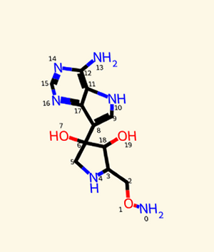 NOCC1NCC(O)(c2c[nH]c3c(N)ncnc23)C1O